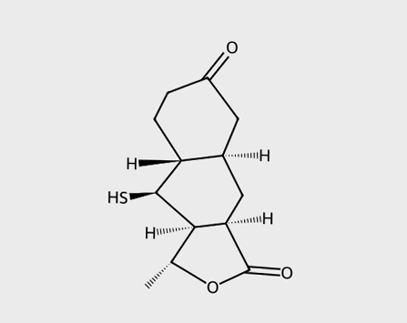 C[C@H]1OC(=O)[C@@H]2C[C@@H]3CC(=O)CC[C@H]3[C@H](S)[C@H]12